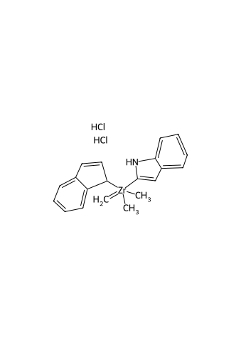 Cl.Cl.[CH2]=[Zr]([CH3])([CH3])([c]1cc2ccccc2[nH]1)[CH]1C=Cc2ccccc21